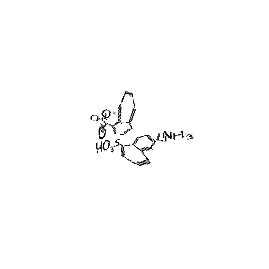 N.O=S(=O)(O)c1cccc2ccccc12.O=S(=O)([O-])c1cccc2ccccc12.[Li+]